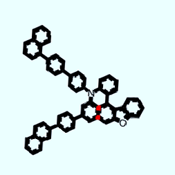 c1cc(-c2ccc(-c3ccc4ccccc4c3)cc2)cc(N(c2ccc(-c3ccc(-c4cccc5ccccc45)cc3)cc2)c2ccccc2-c2cccc3oc4ccccc4c23)c1